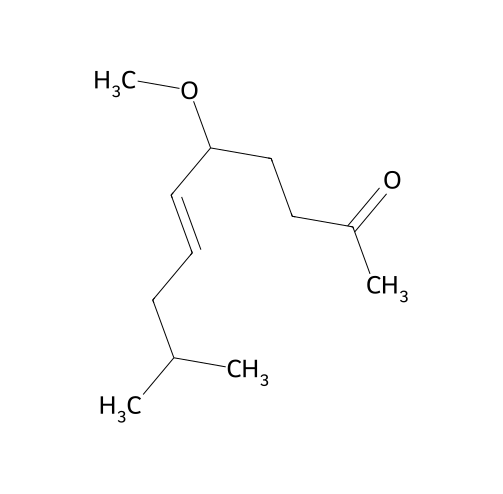 COC(C=CCC(C)C)CCC(C)=O